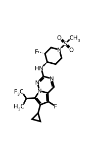 CC(c1c(C2CC2)c(F)c2cnc(N[C@@H]3CCN(S(C)(=O)=O)C[C@H]3F)nn12)C(F)(F)F